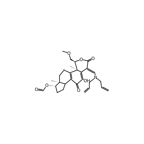 C=CCN(/C=C1/C(=O)O[C@H](COC)[C@]2(C)C3=C(C(=O)C(O)=C12)C1CC[C@H](OC=O)[C@@]1(C)C[C]3)CC=C